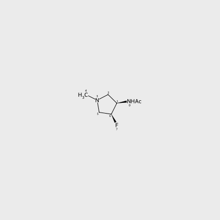 CC(=O)N[C@@H]1CN(C)C[C@@H]1F